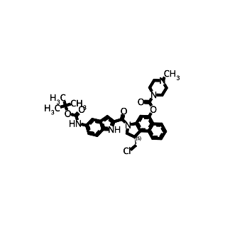 CN1CCN(C(=O)Oc2cc3c(c4ccccc24)[C@H](CCl)CN3C(=O)c2cc3cc(NC(=O)OC(C)(C)C)ccc3[nH]2)CC1